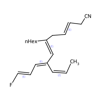 C\C=C/C(=C\C=C\F)/C=C(/C/C=C/CC#N)CCCCCC